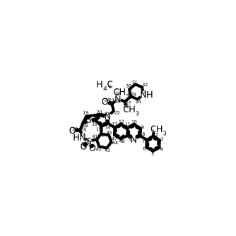 C.Cc1ccccc1-c1ccc2cc(-c3c4c5sc(cc5n3CC(=O)N(C)C(C)C3CCCNC3)C(=O)NS(=O)(=O)C3CCCCC43)ccc2n1